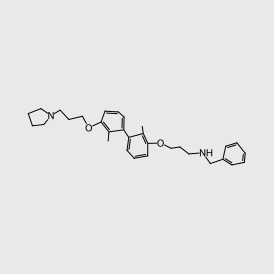 Cc1c(OCCCNCc2ccccc2)cccc1-c1cccc(OCCCN2CCCC2)c1C